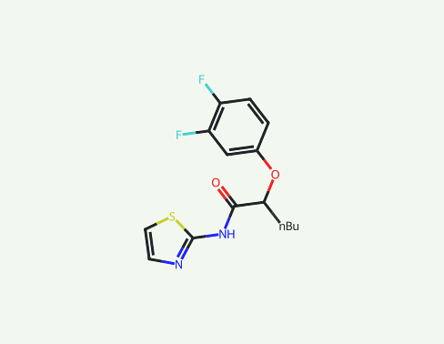 CCCCC(Oc1ccc(F)c(F)c1)C(=O)Nc1nccs1